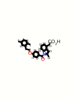 Cc1ccc(C)c(CCOc2ccc(C(=O)n3c(C)cc4c(CC(=O)O)cccc43)cc2)c1